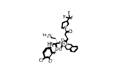 NCC[C@H](NC(=O)[C@@H]1Cc2ccccc2CN1C(=O)CCC(=O)N1CCC(C(F)(F)F)C1)C(=O)Nc1ccc(Cl)c(Cl)c1F